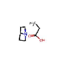 C1CN2CCC12.CCC(=O)O